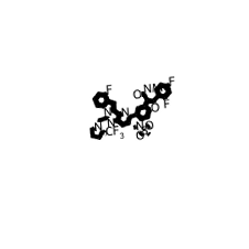 CNC(=O)c1c(-c2ccc(F)cc2F)oc2cc(N(C)S(C)(=O)=O)c(-c3ccc4nc(CN5CCC[C@@H]5C(F)(F)F)n5c6cccc(F)c6cc5c4n3)cc12